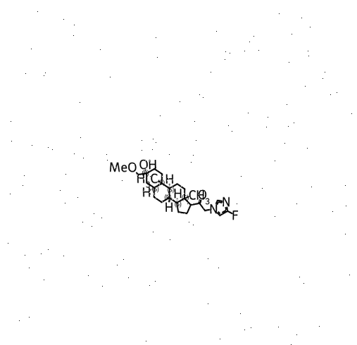 COC[C@@]1(O)CC[C@@]2(C)[C@@H](CC[C@@H]3[C@@H]2CC[C@]2(C)C(C(=O)Cn4cnc(F)c4)CC[C@@H]32)C1